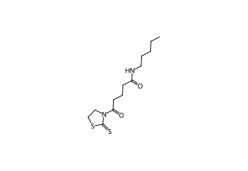 CCCCCNC(=O)CCCC(=O)N1CCSC1=S